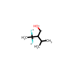 CC(C)C(CO)C(C)(F)F